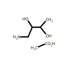 CC(=O)O.CC(O)C(O)CN